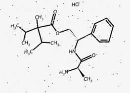 CC(C)C(C)(C(=O)OC[C@@H](NC(=O)[C@@H](C)N)c1ccccc1)C(C)C.Cl